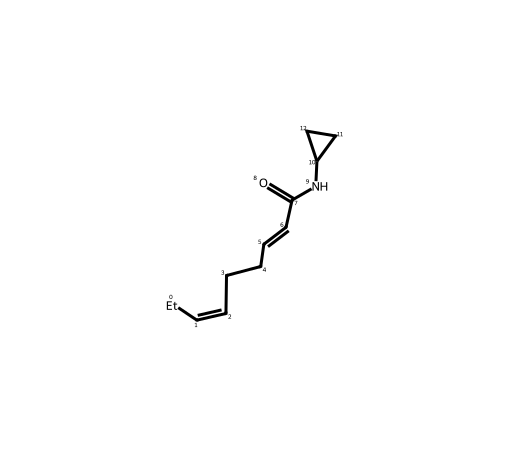 CC/C=C\CC/C=C/C(=O)NC1CC1